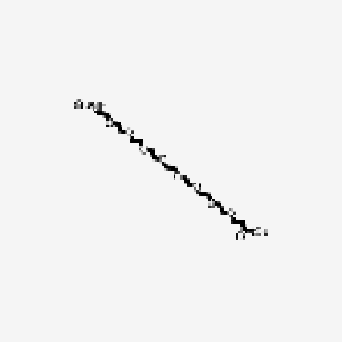 CC(C)(C)NCCOCCOCCOCCOCCOCCOCCOCCOCCC(=O)C(C)(C)C